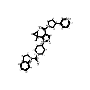 CC1(c2c(C(=O)N3CCC(c4cccnc4)C3)cnn2C2CCN(C(=O)N3CCc4ccccc43)CC2)CC1